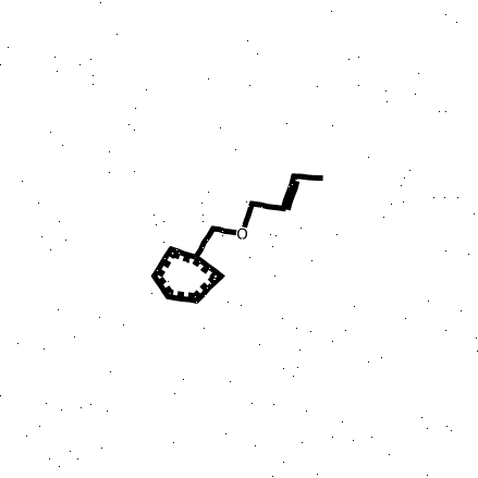 CC=CCOCc1ccccc1